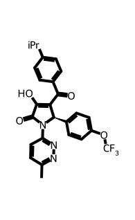 Cc1ccc(N2C(=O)C(O)=C(C(=O)c3ccc(C(C)C)cc3)[C@H]2c2ccc(OC(F)(F)F)cc2)nn1